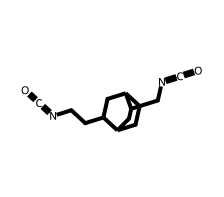 O=C=NCCC1CC2CCC1CC2CN=C=O